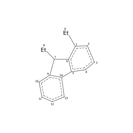 CCc1cccc2c1C(CC)c1ccccc1-2